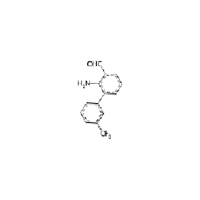 Nc1c(C=O)cccc1-c1cccc(C(F)(F)F)c1